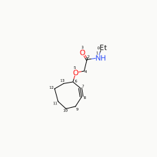 [CH2]CNC(=O)COC1C#CCCCCC1